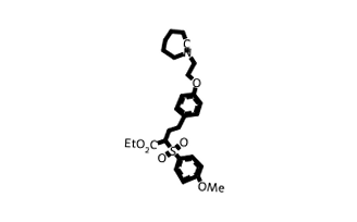 CCOC(=O)C(CCc1ccc(OCCN2CCCCCC2)cc1)S(=O)(=O)c1ccc(OC)cc1